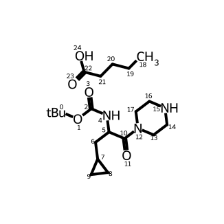 CC(C)(C)OC(=O)NC(CC1CC1)C(=O)N1CCNCC1.CCCCC(=O)O